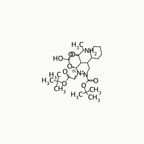 CC(N)C(=O)C1C(C2CCCCC2)CN(C(=O)OC(C)(C)C)[N+](=CC(=O)OC(C)(C)C)[C@H]1OC(=O)O